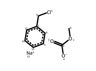 COC(=O)[O-].ClCc1ccccc1.[Na+]